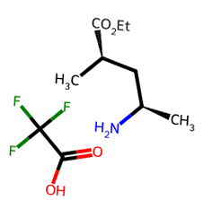 CCOC(=O)[C@H](C)C[C@@H](C)N.O=C(O)C(F)(F)F